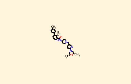 Cc1ccc(-c2cccc(C(=O)NC3CCN(Cc4ccc(N5CC(C)OC(C)C5)nc4)CC3)c2C)cc1